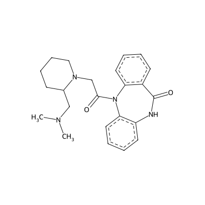 CN(C)CC1CCCCN1CC(=O)N1c2ccccc2NC(=O)c2ccccc21